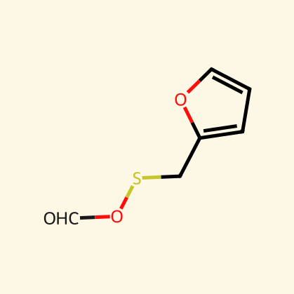 O=COSCc1ccco1